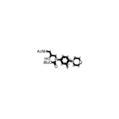 CC(=O)NCC(O)CN(C(=O)OCC(C)C)c1ccc(N2CCOCC2)c(F)c1